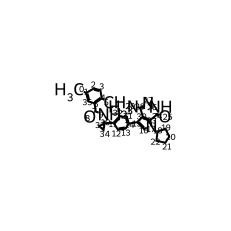 Cc1ccc(C)c(C(=O)NC2(c3ccc(-c4cn(C5CCCC5)c5c(=O)[nH]nc(N)c45)cc3)CC2)c1